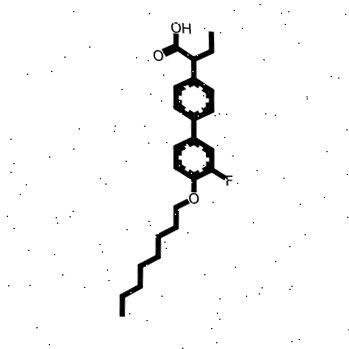 CCCCCCCCOc1ccc(-c2ccc(C(CC)C(=O)O)cc2)cc1F